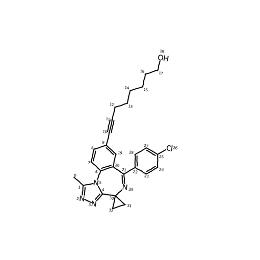 Cc1nnc2n1-c1ccc(C#CCCCCCCO)cc1C(c1ccc(Cl)cc1)=NC21CC1